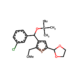 COCc1sc(C2OCCO2)cc1C(O[Si](C)(C)C(C)(C)C)c1cccc(Cl)c1